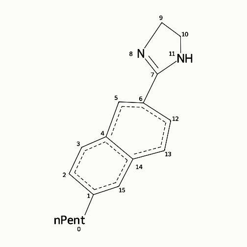 CCCCCc1ccc2cc(C3=NCCN3)ccc2c1